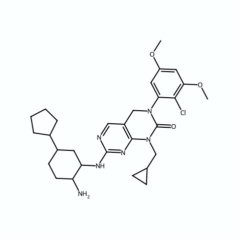 COc1cc(OC)c(Cl)c(N2Cc3cnc(NC4CC(C5CCCC5)CCC4N)nc3N(CC3CC3)C2=O)c1